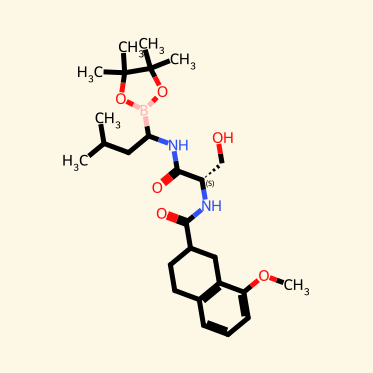 COc1cccc2c1CC(C(=O)N[C@@H](CO)C(=O)NC(CC(C)C)B1OC(C)(C)C(C)(C)O1)CC2